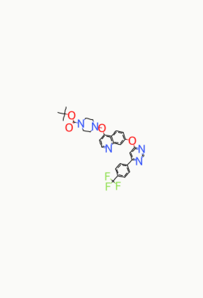 CC(C)(C)OC(=O)N1CCN(Oc2ccnc3cc(Oc4cc(-c5ccc(C(F)(F)F)cc5)ncn4)ccc23)CC1